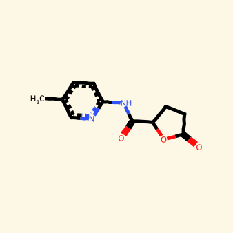 Cc1ccc(NC(=O)C2CCC(=O)O2)nc1